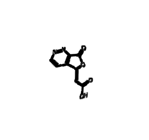 O=C(O)C=C1OC(=O)c2nnccc21